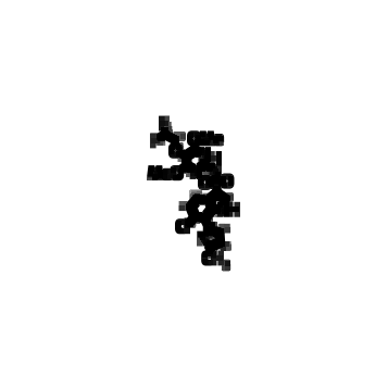 COc1nc(NS(=O)(=O)c2c[nH]c3c(-n4ccc(C)n4)c(Cl)ccc23)nc(OC)c1OCC(F)F